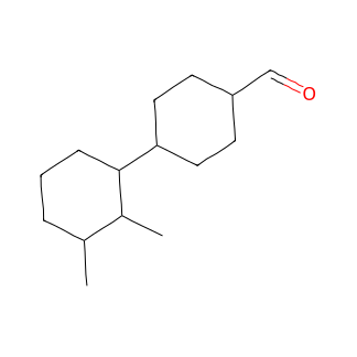 CC1CCCC(C2CCC(C=O)CC2)C1C